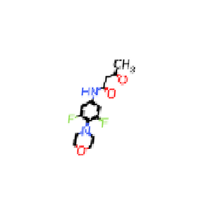 CC(=O)CC(=O)Nc1cc(F)c(N2CCOCC2)c(F)c1